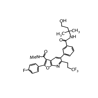 CNC(=O)c1c(-c2ccc(F)cc2)oc2nc(CCC(F)(F)F)c(-c3cccc(C(=O)NC(C)(C)CCO)c3)cc12